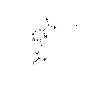 FC(F)OCc1nc[c]c(C(F)F)n1